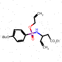 C=CCOP(=O)(NC(C=C)CC(=O)OCC)c1ccc(OCC(C)C)cc1